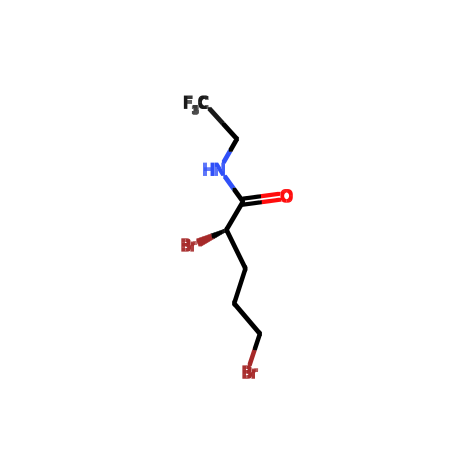 O=C(NCC(F)(F)F)[C@H](Br)CCCBr